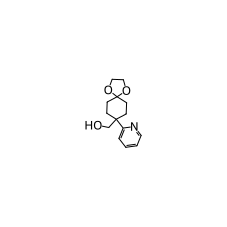 OCC1(c2ccccn2)CCC2(CC1)OCCO2